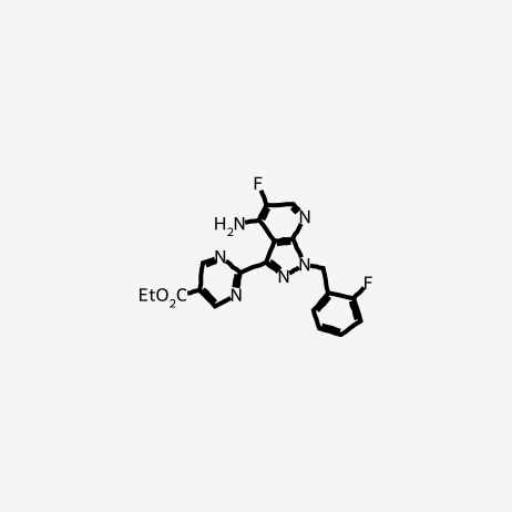 CCOC(=O)c1cnc(-c2nn(Cc3ccccc3F)c3ncc(F)c(N)c23)nc1